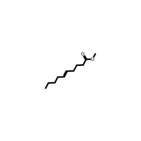 CCCCC=CCCCC(=O)OC